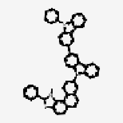 CN1c2c(ccc3ccc4cc(-n5c6ccccc6c6cc(-c7ccc8c(c7)c7ccccc7n8-c7ccccc7)ccc65)ccc4c23)SC1c1ccccc1